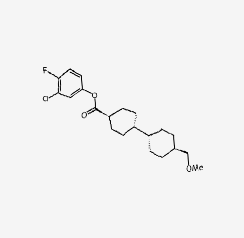 COC[C@H]1CC[C@H]([C@H]2CC[C@H](C(=O)Oc3ccc(F)c(Cl)c3)CC2)CC1